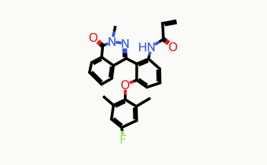 C=CC(=O)Nc1cccc(Oc2c(C)cc(F)cc2C)c1-c1nn(C)c(=O)c2ccccc12